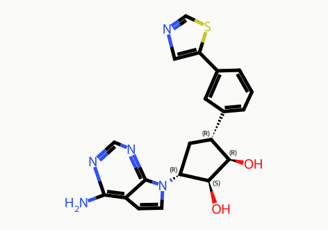 Nc1ncnc2c1ccn2[C@@H]1C[C@H](c2cccc(-c3cncs3)c2)[C@@H](O)[C@H]1O